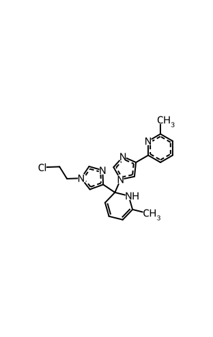 CC1=CC=CC(c2cn(CCCl)cn2)(n2cnc(-c3cccc(C)n3)c2)N1